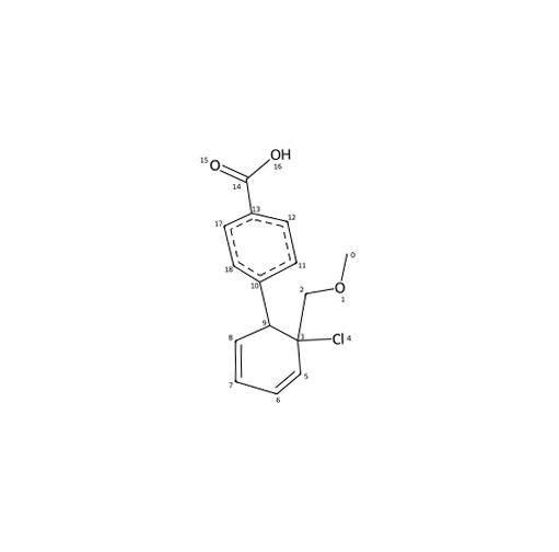 COCC1(Cl)C=CC=CC1c1ccc(C(=O)O)cc1